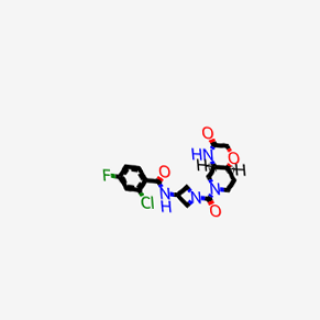 O=C1CO[C@H]2CCN(C(=O)N3CC(NC(=O)c4ccc(F)cc4Cl)C3)C[C@H]2N1